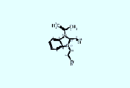 C=C(C)N1c2ccccc2N(CCBr)C1C=O